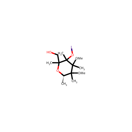 COC1(C)[C@H](C)OC(C)(CO)C(C)(OI)C1(C)OC